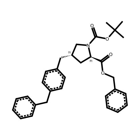 CC(C)(C)OC(=O)N1C[C@@H](Cc2ccc(Cc3ccccc3)cc2)C[C@@H]1C(=O)OCc1ccccc1